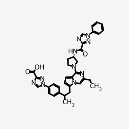 CCc1cn2c(CC(C)c3ccc(-n4cnc(C(=O)O)n4)cc3)ccc2c(N2CC[C@H](NC(=O)c3ncn(-c4ccccc4)n3)C2)n1